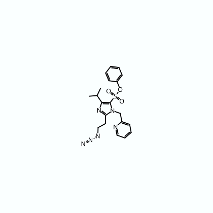 CC(C)c1nc(CCN=[N+]=[N-])n(Cc2ccccn2)c1S(=O)(=O)Oc1ccccc1